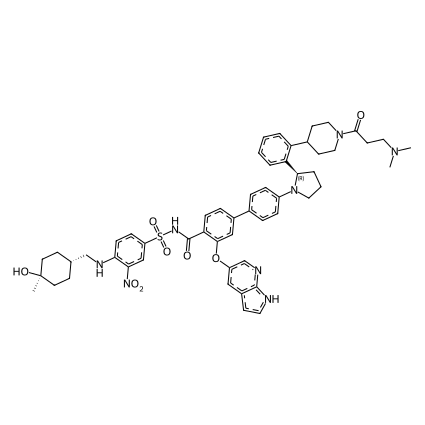 CN(C)CCC(=O)N1CCC(c2ccccc2[C@H]2CCCN2c2ccc(-c3ccc(C(=O)NS(=O)(=O)c4ccc(NC[C@H]5CC[C@](C)(O)CC5)c([N+](=O)[O-])c4)c(Oc4cnc5[nH]ccc5c4)c3)cc2)CC1